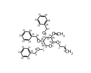 C=CCO[C@H]1O[C@H](COCc2ccccc2)[C@@H](OCc2ccccc2)[C@H](OCc2ccccc2)[C@H]1OC